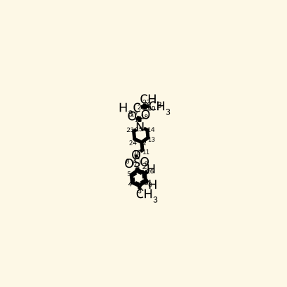 [2H]c1c(C)ccc(S(=O)(=O)OCC2CCN(C(=O)OC(C)(C)C)CC2)c1[2H]